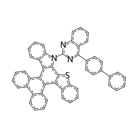 c1ccc(-c2ccc(-c3nc(-n4c5ccccc5c5c6c7ccccc7c7ccccc7c6c6c7ccccc7sc6c54)nc4ccccc34)cc2)cc1